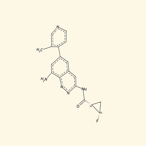 Cc1cnccc1-c1cc(N)c2nnc(NC(=O)[C@@H]3C[C@@H]3F)cc2c1